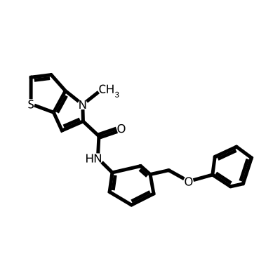 Cn1c(C(=O)Nc2cccc(COc3ccccc3)c2)cc2sccc21